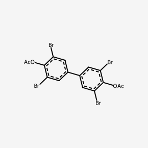 CC(=O)Oc1c(Br)cc(-c2cc(Br)c(OC(C)=O)c(Br)c2)cc1Br